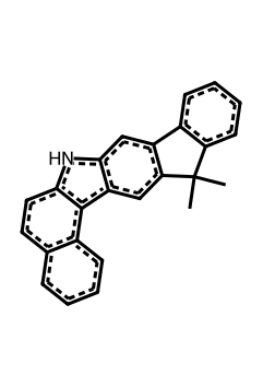 CC1(C)c2ccccc2-c2cc3[nH]c4ccc5ccccc5c4c3cc21